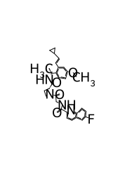 COc1ccc([C@H](C)NC(=O)[C@@H]2CCN2C(=O)CNC(=O)c2ccc3cc(F)ccc3n2)c(/C=C/C2CC2)c1